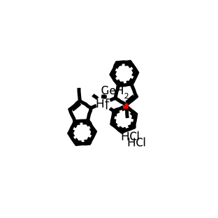 CC1=Cc2ccccc2[CH]1[Hf]([CH3])(=[GeH2])([c]1ccccc1)[CH]1C(C)=Cc2ccccc21.Cl.Cl